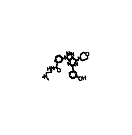 CN(C)CCNC(=O)c1cccc(-n2nnc3c(N4CCOCC4)nc(-c4cccc(O)c4)nc32)c1